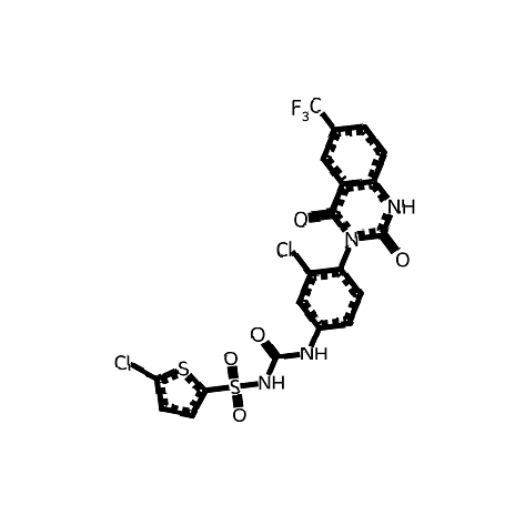 O=C(Nc1ccc(-n2c(=O)[nH]c3ccc(C(F)(F)F)cc3c2=O)c(Cl)c1)NS(=O)(=O)c1ccc(Cl)s1